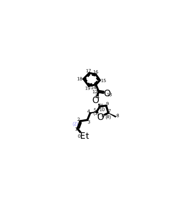 CC/C=C\CC[C@@H]1O[C@H](C)C[C@H]1OC(=O)c1ccccc1